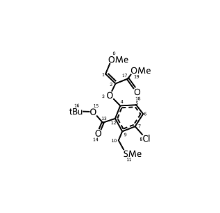 CO/C=C(/Oc1ccc(Cl)c(CSC)c1C(=O)OC(C)(C)C)C(=O)OC